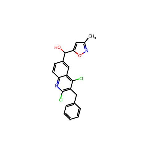 Cc1cc(C(O)c2ccc3nc(Cl)c(Cc4ccccc4)c(Cl)c3c2)on1